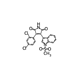 CS(=O)(=O)n1cc(C2=C(c3ccc(Cl)cc3Cl)C(=O)NC2=O)c2ccccc21